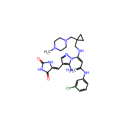 C=C(/C=C(/NCC1(CN2CCN(C)CC2)CC1)n1ncc(/C=C2\NC(=O)NC2=O)c1N)Nc1cccc(Cl)c1